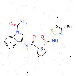 CC(C)(C)c1csc(NC(=O)[C@@H]2CCCN2C(=O)Nc2cn(C(N)=O)c3ccccc23)n1